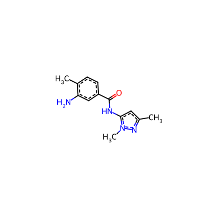 Cc1cc(NC(=O)c2ccc(C)c(N)c2)n(C)n1